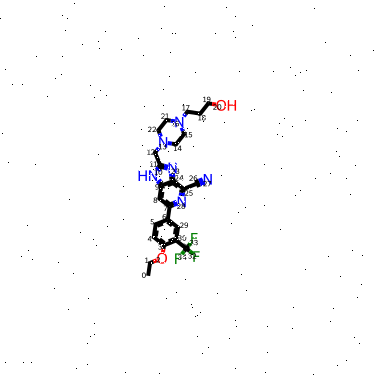 CCOc1ccc(-c2cc3[nH]c(CN4CCN(CCCO)CC4)nc3c(C#N)n2)cc1C(F)(F)F